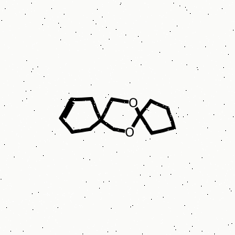 C1=CCC2(CC1)COC1(CCCC1)OC2